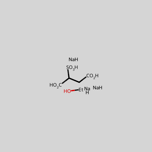 CCO.O=C(O)CC(C(=O)O)S(=O)(=O)O.[NaH].[NaH].[NaH]